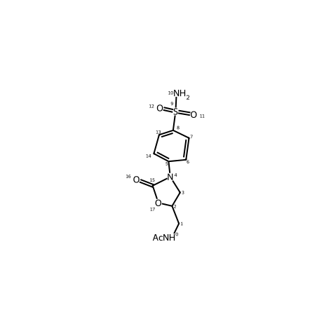 CC(=O)NCC1CN(c2ccc(S(N)(=O)=O)cc2)C(=O)O1